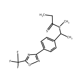 CCC(=S)N(C)C(C)c1ccc(-c2noc(C(F)(F)F)n2)cc1